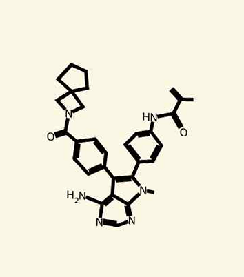 C=C(C)C(=O)Nc1ccc(-c2c(-c3ccc(C(=O)N4CC5(CCCC5)C4)cc3)c3c(N)ncnc3n2C)cc1